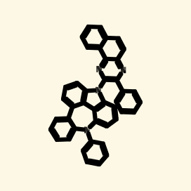 c1ccc(-c2nc3ccc4ccccc4c3nc2-n2c3cccc4c5ccccc5n(-c5ccccc5)c5cccc2c5c43)cc1